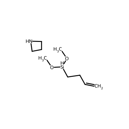 C1CNC1.C=CCC[SiH](OC)OC